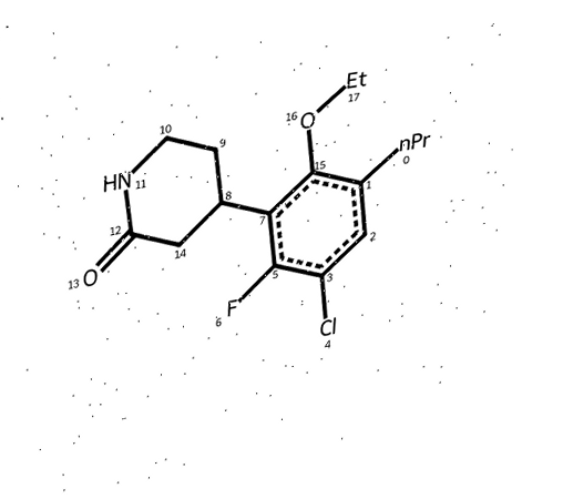 CCCc1cc(Cl)c(F)c(C2CCNC(=O)C2)c1OCC